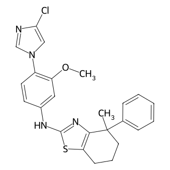 COc1cc(Nc2nc3c(s2)CCCC3(C)c2ccccc2)ccc1-n1cnc(Cl)c1